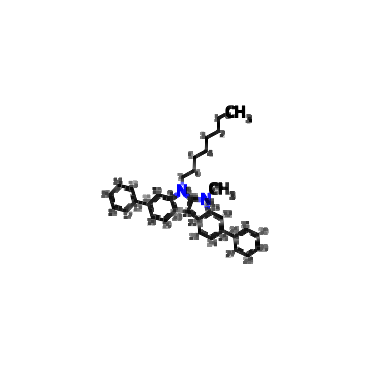 CCCCCCCCn1c2cc(-c3ccccc3)ccc2c2c3ccc(-c4ccccc4)cc3n(C)c21